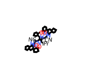 Cc1ccccc1-c1c2/c(=C(\C#N)c3nc4c5ccccc5ccc4n3C)n(B3Oc4ccccc4O3)c(C(C)C)c2/c(=C(\C#N)c2nc3c4ccccc4ccc3n2C)n1B1Oc2ccccc2O1